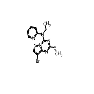 CCN(c1ccccn1)c1nc(SC)nc2c(Br)cnn12